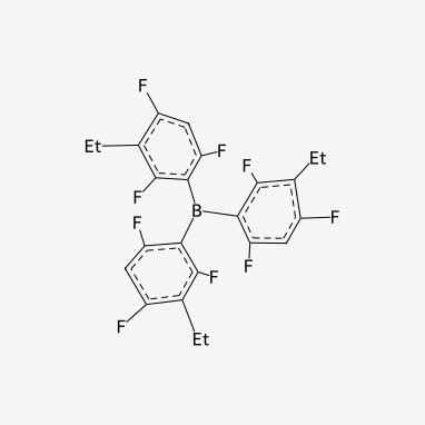 CCc1c(F)cc(F)c(B(c2c(F)cc(F)c(CC)c2F)c2c(F)cc(F)c(CC)c2F)c1F